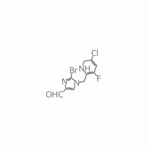 O=Cc1cn(CC2=C(F)C=C(Cl)CN2)c(Br)n1